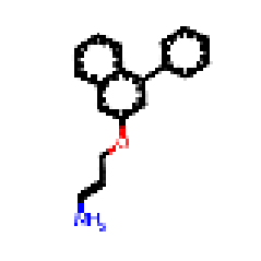 NC=CCOc1cc(-c2ccccc2)c2ccccc2c1